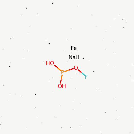 OP(O)OF.[Fe].[NaH]